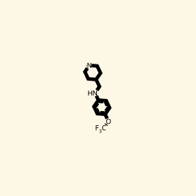 FC(F)(F)Oc1ccc(NCC2CC[N]CC2)cc1